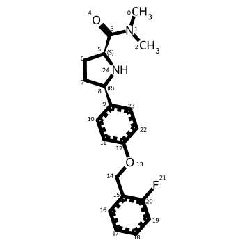 CN(C)C(=O)[C@@H]1CC[C@H](c2ccc(OCc3ccccc3F)cc2)N1